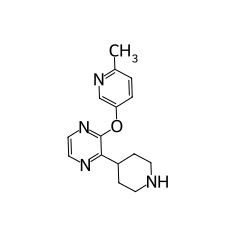 Cc1ccc(Oc2nccnc2C2CCNCC2)cn1